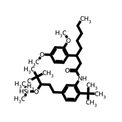 CCCCCC(CC(=O)Nc1cc(CCC(O[SiH](C)C)C(C)(C)C)ccc1C(C)(C)C)c1ccc(OC)cc1OC